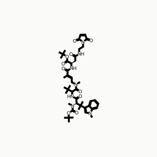 C/C(=C\CN(C)C(=O)C(NC(=O)[C@@H](N(C)C(=O)OC(C)(C)C)C(C)(C)c1cn(C)c2ccccc12)C(C)(C)C)C(=O)N[C@H](CC(=O)NCCN1C(=O)C=CC1=O)C(=O)OC(C)(C)C